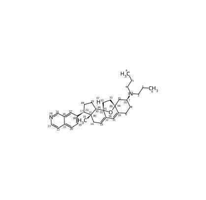 CCCN(CCC)[C@H]1CCC2=CC3=CC[C@]4(C)[C@@H](c5ccc6ccncc6c5)CC[C@H]4[C@@]34CC[C@]2(C1)O4